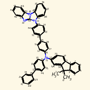 CC1(C)c2ccccc2-c2ccc(N(c3ccc(-c4ccccc4)cc3)c3ccc(-c4ccc(-n5c6ccccc6n6c7ccccc7nc56)cc4)cc3)cc21